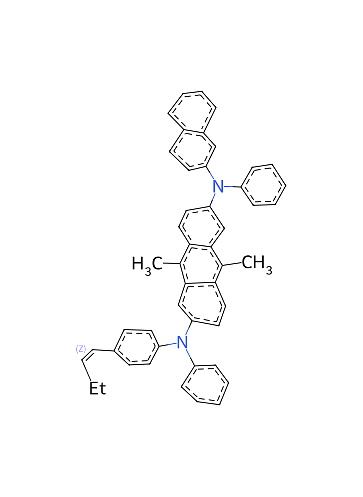 CC/C=C\c1ccc(N(c2ccccc2)c2ccc3c(C)c4cc(N(c5ccccc5)c5ccc6ccccc6c5)ccc4c(C)c3c2)cc1